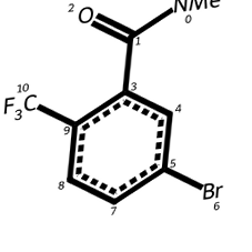 CNC(=O)c1cc(Br)ccc1C(F)(F)F